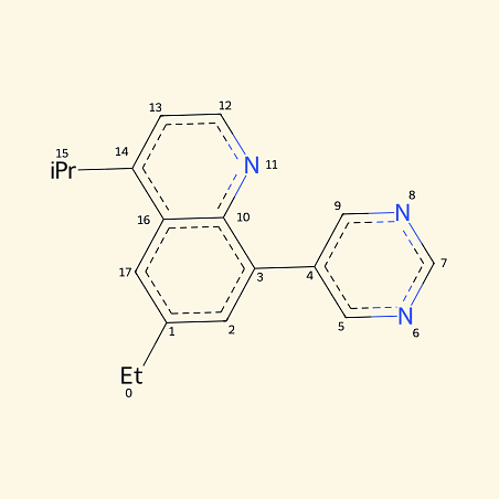 CCc1cc(-c2cncnc2)c2nccc(C(C)C)c2c1